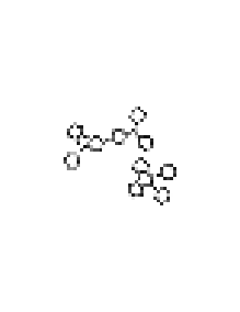 c1ccc(-c2c(-c3ccccc3)c3cc(-c4cccc(N(c5ccccc5)c5ccc(-c6ccc7c(c6)c6ccccc6n7-c6ccccc6)cc5)c4)ccc3c3ccccc23)cc1